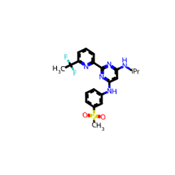 CC(C)Nc1cc(Nc2cccc(S(C)(=O)=O)c2)nc(-c2cccc(C(C)(F)F)n2)n1